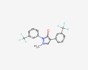 Cn1cc(-c2cccc(C(F)(F)F)c2)c(=O)n1-c1cccc(C(F)(F)F)c1